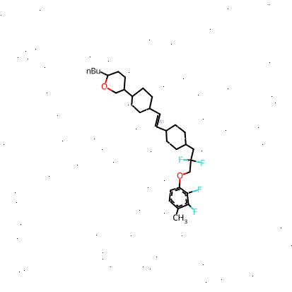 CCCCC1CCC(C2CCC(/C=C/C3CCC(CC(F)(F)COc4ccc(C)c(F)c4F)CC3)CC2)CO1